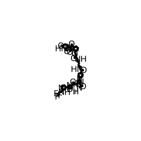 NC(=O)c1nn(-c2ccc(C(=O)NCCCCNC(=O)COc3cccc4c3C(=O)N(C3CCC(=O)NC3=O)C4=O)cc2)cc1NC(=O)c1coc(-c2ccnc(NCC(F)(F)F)c2)n1